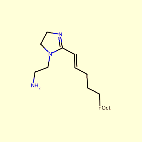 CCCCCCCCCCCC=CC1=NCCN1CCN